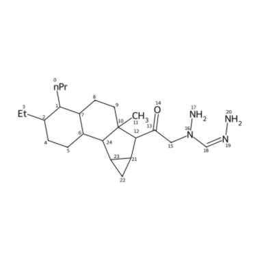 CCCC1C(CC)CCC2C1CCC1(C)C(C(=O)CN(N)/C=N\N)C3CC3C21